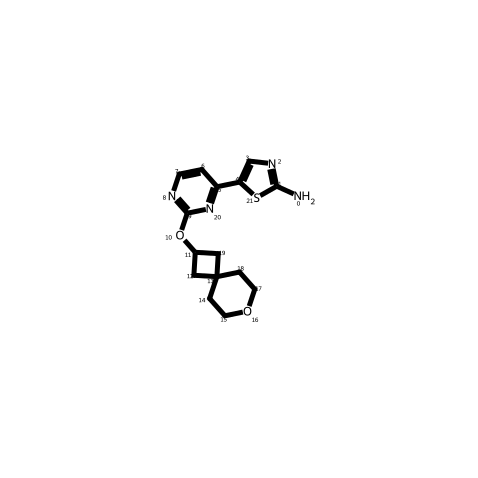 Nc1ncc(-c2ccnc(OC3CC4(CCOCC4)C3)n2)s1